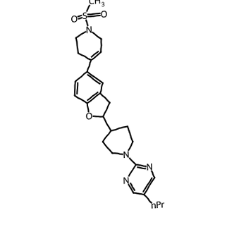 CCCc1cnc(N2CCC(C3Cc4cc(C5=CCN(S(C)(=O)=O)CC5)ccc4O3)CC2)nc1